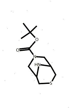 CC(C)(C)OC(=O)N1CC2CSCC(C1)N2